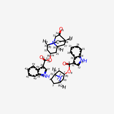 CN1[C@@H]2CC[C@H]1C[C@@H](OC(=O)c1c[nH]c3ccccc13)C2.O=C(O[C@@H]1C[C@@H]2C[C@@H]3C[C@H](C1)N2CC3=O)c1c[nH]c2ccccc12